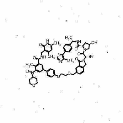 CCN(c1cc(-c2ccc(OCCOCc3ccc4c(c3)C(=O)N([C@H](C(=O)N3C[C@H](O)C[C@H]3C(=O)N[C@@H](C)c3ccc(-c5scnc5C)cc3)C(C)C)C4)cc2)cc(C(=O)NCc2c(C)cc(C)[nH]c2=O)c1C)C1CCOCC1